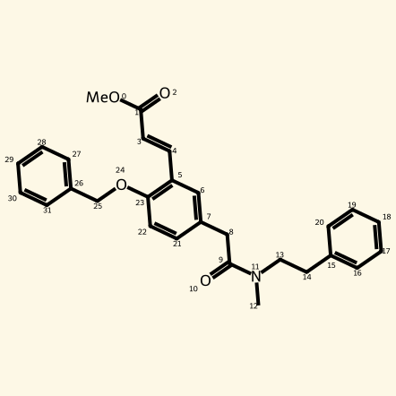 COC(=O)/C=C/c1cc(CC(=O)N(C)CCc2ccccc2)ccc1OCc1ccccc1